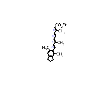 CCOC(=O)/C=C(C)/C=C/C=C(C)/C=C/c1c(C)cc2c(c1C)CCC2